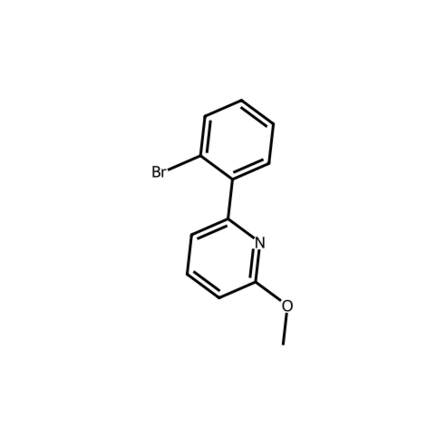 COc1cccc(-c2ccccc2Br)n1